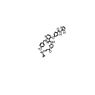 COc1ccc(Cn2nc(NC3CCN(C(=O)C=CCN(C)C4CC4)C3)c3c(Oc4ccc(C(=O)Nc5ncc[nH]5)cc4)ccnc32)cc1